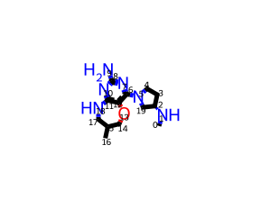 CN[C@@H]1CCN(c2nc(N)nc3c2OCC(C)CN3)C1